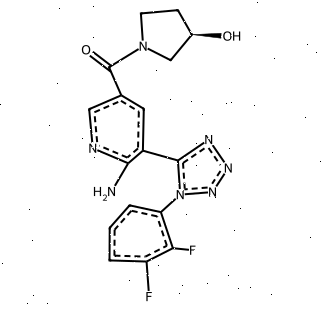 Nc1ncc(C(=O)N2CC[C@@H](O)C2)cc1-c1nnnn1-c1cccc(F)c1F